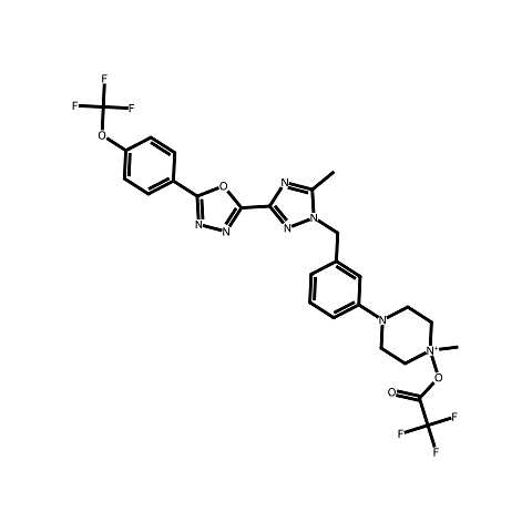 Cc1nc(-c2nnc(-c3ccc(OC(F)(F)F)cc3)o2)nn1Cc1cccc(N2CC[N+](C)(OC(=O)C(F)(F)F)CC2)c1